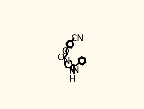 N#Cc1ccc(OCC(=O)N2CCc3[nH]nc(-c4ccccc4)c3C2)cc1